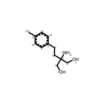 NC(CO)(CO)CCc1ccc(I)cc1